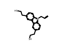 C=CCn1c2ccc(CCS)cc2c2cc(CCS)ccc21